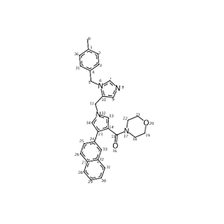 Cc1ccc(Cn2cncc2Cn2cc(C(=O)N3CCOCC3)c(-c3ccc4ccccc4c3)c2)cc1